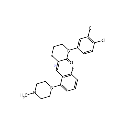 CN1CCN(c2cccc(F)c2/C=C2/SCCN(c3ccc(Cl)c(Cl)c3)C2=O)CC1